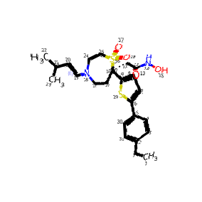 CCc1ccc(-c2ccc([C@@]3(CC(=O)NO)CCN(/C=C/C(C)C)CCS3(=O)=O)s2)cc1